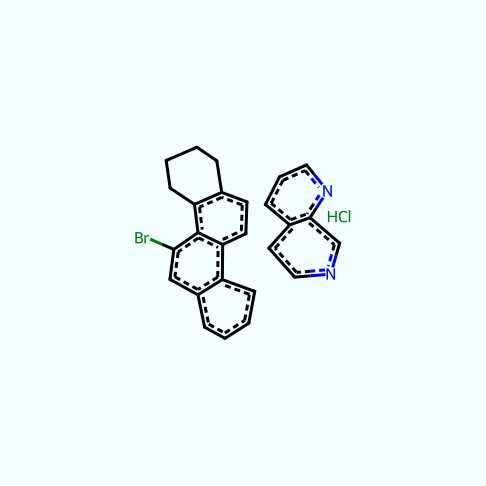 Brc1cc2ccccc2c2ccc3c(c12)CCCC3.Cl.c1cnc2cnccc2c1